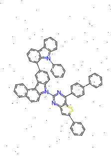 c1ccc(-c2ccc(-c3nc(-n4c5ccc(-c6cccc7c8ccccc8n(-c8ccccc8)c67)cc5c5c6ccccc6ccc54)nc4cc(-c5ccccc5)sc34)cc2)cc1